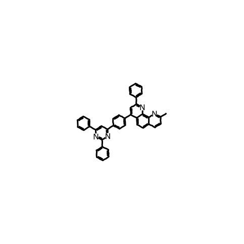 Cc1ccc2ccc3c(-c4ccc(-c5cc(-c6ccccc6)nc(-c6ccccc6)n5)cc4)cc(-c4ccccc4)nc3c2n1